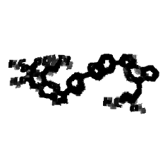 CCCN(Cc1ncc(-c2ccc(-c3cc4cc(-c5cnc([C@@H]6CCCN6C(=O)C[C@H](C)CC)[nH]5)ccc4o3)cc2)[nH]1)C(=O)[C@@H](NC(=O)OC)[C@H](C)CC